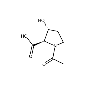 CC(=O)N1CC[C@@H](O)[C@@H]1C(=O)O